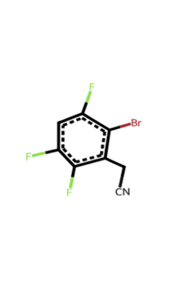 N#CCc1c(F)c(F)cc(F)c1Br